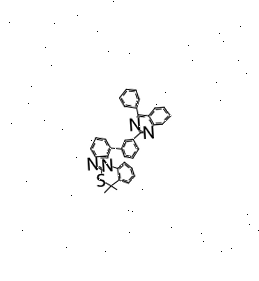 CC1(C)Sc2nc3cccc(-c4cccc(-c5nc(-c6ccccc6)c6ccccc6n5)c4)c3n2-c2ccccc21